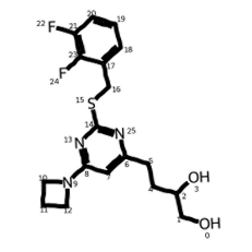 OCC(O)CCc1cc(N2CCC2)nc(SCc2cccc(F)c2F)n1